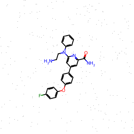 NCCN(c1ccccc1)c1cc(-c2ccc(Oc3ccc(F)cc3)cc2)cc(C(N)=O)n1